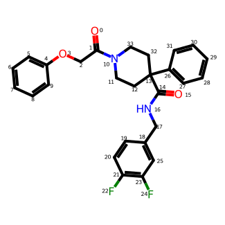 O=C(COc1ccccc1)N1CCC(C(=O)NCc2ccc(F)c(F)c2)(c2ccccc2)CC1